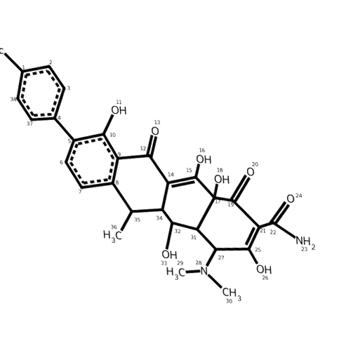 CC(=O)c1ccc(-c2ccc3c(c2O)C(=O)C2=C(O)C4(O)C(=O)C(C(N)=O)=C(O)C(N(C)C)C4C(O)C2C3C)cc1